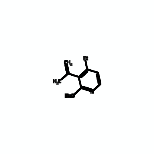 C=C(C)c1c(CC)ccnc1OCC(C)C